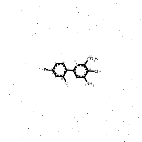 Nc1cc(-c2ccc(F)cc2Cl)nc(C(=O)O)c1Cl